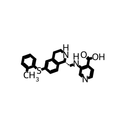 Cc1ccccc1Sc1ccc2c(c1)CCN[C@@H]2CNc1cnccc1C(=O)O